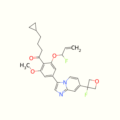 C=CC(F)Oc1cc(-c2cnc3cc(C4(F)COC4)ccn23)cc(OC)c1C(=O)CCCC1CC1